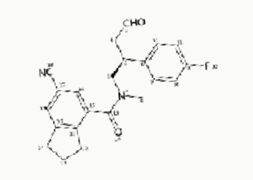 CN(C[C@@H](CC=O)c1ccc(F)cc1)C(=O)c1cc(C#N)cc2c1CCC2